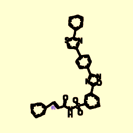 O=C(/C=C/c1ccccc1)NS(=O)(=O)c1cccc(-c2nc(-c3ccc(-c4csc(-c5ccccc5)n4)cc3)no2)c1